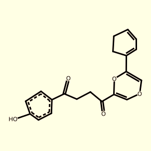 O=C(CCC(=O)c1ccc(O)cc1)C1=COC=C(C2=CC=CCC2)O1